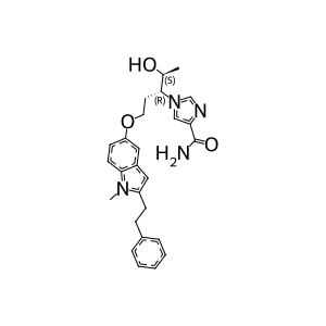 C[C@H](O)[C@@H](CCOc1ccc2c(c1)cc(CCc1ccccc1)n2C)n1cnc(C(N)=O)c1